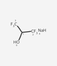 OC(C(F)(F)F)C(F)(F)F.[NaH]